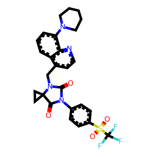 O=C1N(c2ccc(S(=O)(=O)C(F)(F)F)cc2)C(=O)C2(CC2)N1Cc1ccnc2c(N3CCCCC3)cccc12